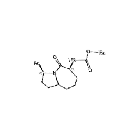 CC(=O)[C@@H]1CCC2CCC[C@H](NC(=O)OC(C)(C)C)C(=O)N21